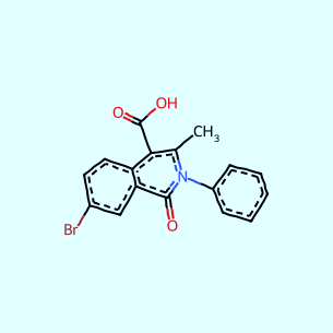 Cc1c(C(=O)O)c2ccc(Br)cc2c(=O)n1-c1ccccc1